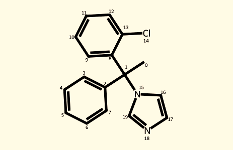 CC(c1ccccc1)(c1ccccc1Cl)n1ccnc1